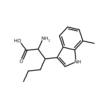 CCCC(c1c[nH]c2c(C)cccc12)C(N)C(=O)O